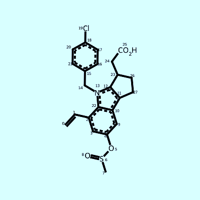 C=Cc1cc(OS(C)=O)cc2c3c(n(Cc4ccc(Cl)cc4)c12)C(CC(=O)O)CC3